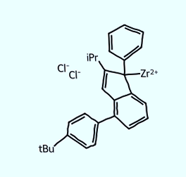 CC(C)C1=Cc2c(-c3ccc(C(C)(C)C)cc3)cccc2[C]1([Zr+2])c1ccccc1.[Cl-].[Cl-]